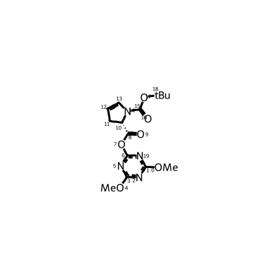 COc1nc(OC)nc(OC(=O)[C@@H]2CC=CN2C(=O)OC(C)(C)C)n1